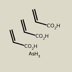 C=CC(=O)O.C=CC(=O)O.C=CC(=O)O.[AsH3]